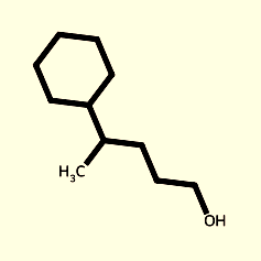 CC(CCCO)C1CCCCC1